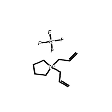 C=CC[N+]1(CC=C)CCCC1.F[B-](F)(F)F